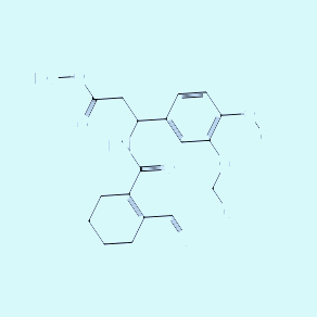 CCOc1cc(C(CC(=O)OC)NC(=O)C2=C(C=O)CCCC2)ccc1OC